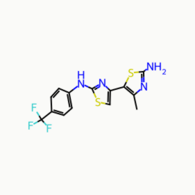 Cc1nc(N)sc1-c1csc(Nc2ccc(C(F)(F)F)cc2)n1